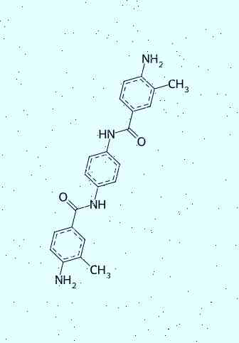 Cc1cc(C(=O)Nc2ccc(NC(=O)c3ccc(N)c(C)c3)cc2)ccc1N